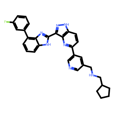 Fc1cccc(-c2cccc3[nH]c(-c4n[nH]c5ccc(-c6cncc(CNCC7CCCC7)c6)nc45)nc23)c1